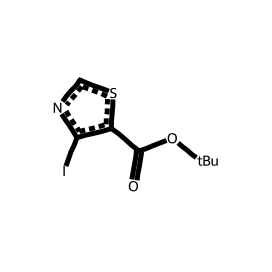 CC(C)(C)OC(=O)c1scnc1I